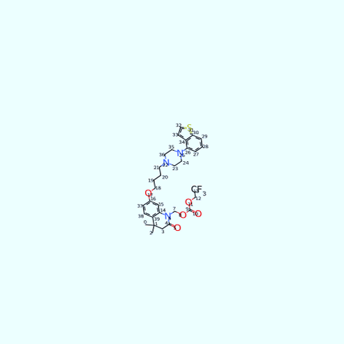 CC1(C)CC(=O)N(COC(=O)OCC(F)(F)F)c2cc(OCCCCN3CCN(c4cccc5sccc45)CC3)ccc21